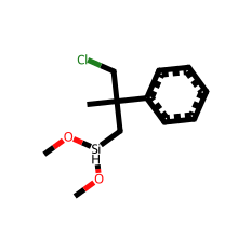 CO[SiH](CC(C)(CCl)c1ccccc1)OC